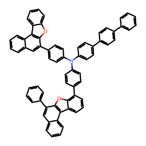 c1ccc(-c2ccc(-c3ccc(N(c4ccc(-c5cccc6c5oc5c(-c7ccccc7)cc7ccccc7c56)cc4)c4ccc(-c5cc6ccccc6c6c5oc5ccccc56)cc4)cc3)cc2)cc1